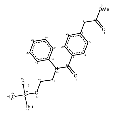 COC(=O)Cc1ccc(C(=O)N(CCO[Si](C)(C)C(C)(C)C)c2ccccc2)cc1